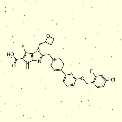 O=C(O)c1[nH]c2nc(CN3CC=C(c4cccc(OCc5ccc(Cl)cc5F)n4)CC3)n(C[C@@H]3CCO3)c2c1F